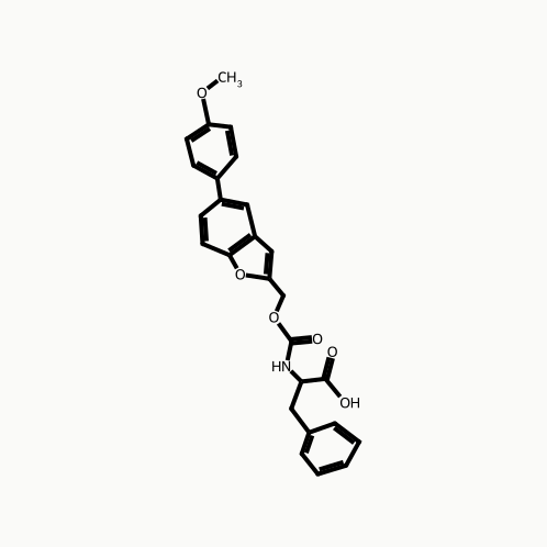 COc1ccc(-c2ccc3oc(COC(=O)NC(Cc4ccccc4)C(=O)O)cc3c2)cc1